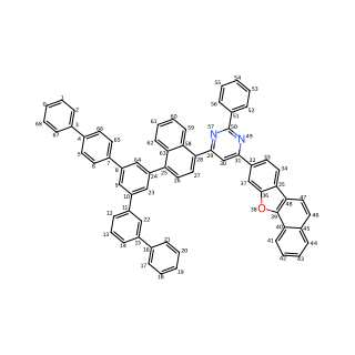 c1ccc(-c2ccc(-c3cc(-c4cccc(-c5ccccc5)c4)cc(-c4ccc(-c5cc(-c6ccc7c(c6)oc6c8ccccc8ccc76)nc(-c6ccccc6)n5)c5ccccc45)c3)cc2)cc1